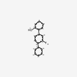 Oc1ccccc1-c1ccc(-c2ccccc2)c(F)c1